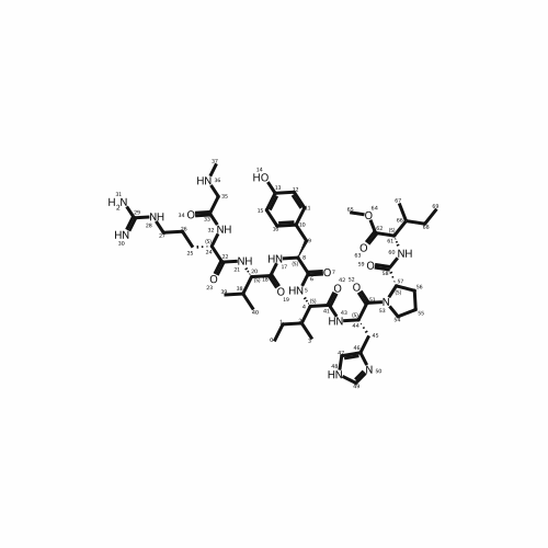 CCC(C)[C@H](NC(=O)[C@H](Cc1ccc(O)cc1)NC(=O)[C@@H](NC(=O)[C@H](CCCNC(=N)N)NC(=O)CNC)C(C)C)C(=O)N[C@@H](Cc1c[nH]cn1)C(=O)N1CCC[C@H]1C(=O)N[C@H](C(=O)OC)C(C)CC